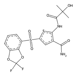 CC(C)(O)C(=O)Nc1sc(S(=O)(=O)c2cccc3c2OC(F)(F)O3)cc1C(N)=O